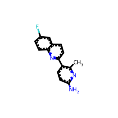 Cc1nc(N)ccc1-c1ccc2cc(F)ccc2n1